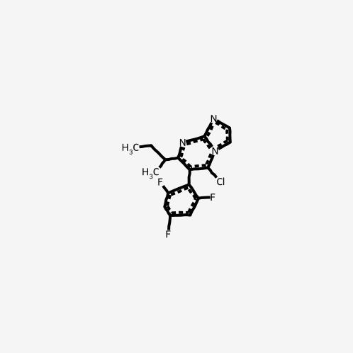 CCC(C)c1nc2nccn2c(Cl)c1-c1c(F)cc(F)cc1F